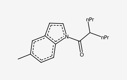 CCCC(CCC)C(=O)n1ccc2cc(C)ccc21